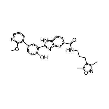 COc1ncccc1-c1ccc(O)c(-c2nc3cc(C(=O)NCCCc4c(C)noc4C)ccc3[nH]2)c1